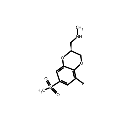 CNC[C@H]1COc2c(F)cc(S(C)(=O)=O)cc2O1